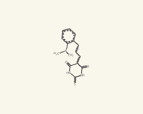 CN(C)c1ccccc1/C=C/C=C1C(=O)NC(=S)NC1=O